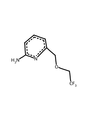 Nc1cccc(COCC(F)(F)F)n1